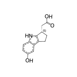 O=C(O)C[C@@H]1CCc2c1[nH]c1ccc(O)cc21